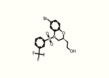 O=S(=O)(c1cccc(C(F)(F)F)c1)N1C[C@H](CCO)Oc2ccc(Br)cc21